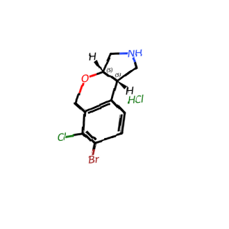 Cl.Clc1c(Br)ccc2c1CO[C@@H]1CNC[C@H]21